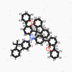 CC1(C)c2ccccc2-c2ccc(N(c3ccc(-c4cccc5c4oc4ccccc45)cc3)c3ccc4c(oc5ccccc54)c3C3(C)c4ccccc4-c4ccccc43)cc21